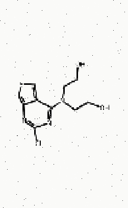 OCCN(CCO)c1nc(Cl)nc2cscc12